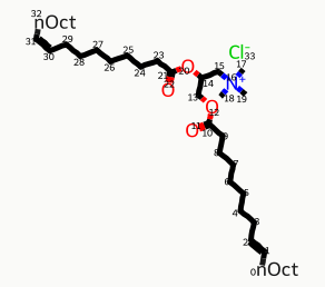 CCCCCCCCC=CCCCCCCCC(=O)OCC(C[N+](C)(C)C)OC(=O)CCCCCCC/C=C\CCCCCCCC.[Cl-]